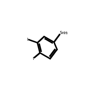 [SnH][c]1ccc(I)c(I)c1